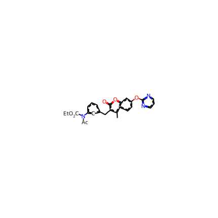 CCOC(=O)N(C(C)=O)c1cccc(Cc2c(C)c3ccc(Oc4ncccn4)cc3oc2=O)c1